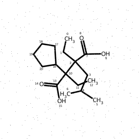 CCC(CC(C)C)(C(=O)O)C(CC)(C(=O)O)C1CCCC1